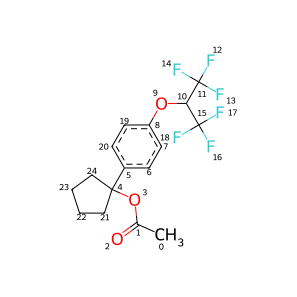 CC(=O)OC1(c2ccc(OC(C(F)(F)F)C(F)(F)F)cc2)CCCC1